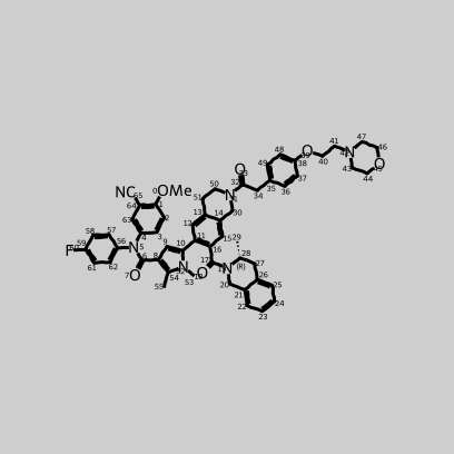 COc1ccc(N(C(=O)c2cc(-c3cc4c(cc3C(=O)N3Cc5ccccc5C[C@H]3C)CN(C(=O)Cc3ccc(OCCN5CCOCC5)cc3)CC4)n(C)c2C)c2ccc(F)cc2)cc1C#N